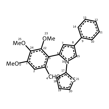 COc1cc(C=O)c(-c2cc(-c3ccccc3)cn2-c2cccs2)c(OC)c1OC